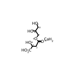 O=C(CC(O)C(=O)O)OCC(O)CO.[CaH2]